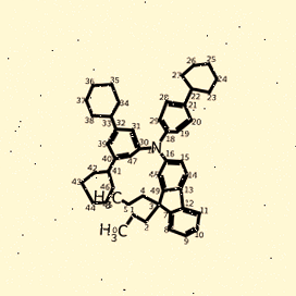 CCCC1(CCC)c2ccccc2-c2ccc(N(c3ccc(C4CCCCC4)cc3)c3cc(C4CCCCC4)cc(C4CCCCC4)c3)cc21